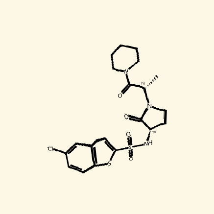 C[C@@H](C(=O)N1CCCCC1)N1CC[C@@H](NS(=O)(=O)c2cc3cc(Cl)ccc3s2)C1=O